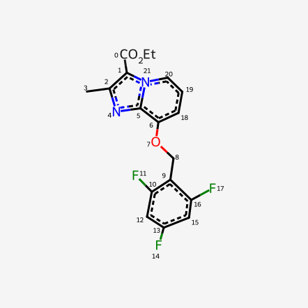 CCOC(=O)c1c(C)nc2c(OCc3c(F)cc(F)cc3F)cccn12